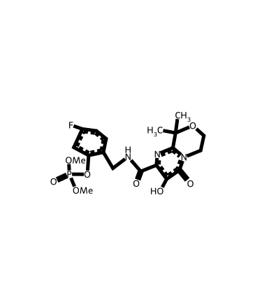 COP(=O)(OC)Oc1cc(F)ccc1CNC(=O)c1nc2n(c(=O)c1O)CCOC2(C)C